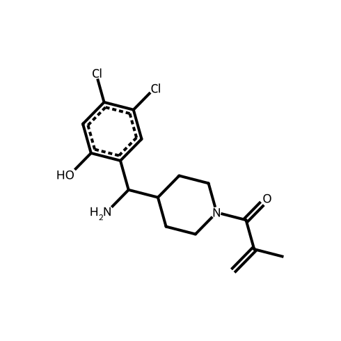 C=C(C)C(=O)N1CCC(C(N)c2cc(Cl)c(Cl)cc2O)CC1